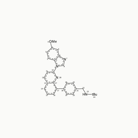 COc1ccc2c(c1)ncn2-c1ccc2cccc(-c3ccc(CNC(C)(C)C)cc3)c2n1